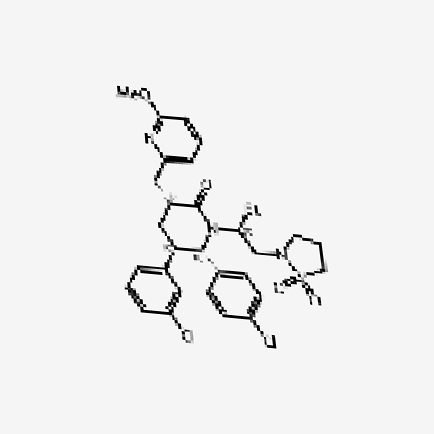 CC[C@@H](CN1CCCS1(=O)=O)N1C(=O)[C@@H](Cc2cccc(OC)n2)C[C@H](c2cccc(Cl)c2)[C@H]1c1ccc(Cl)cc1